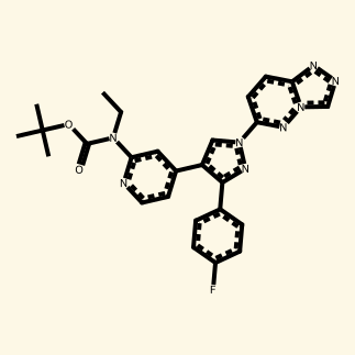 CCN(C(=O)OC(C)(C)C)c1cc(-c2cn(-c3ccc4nncn4n3)nc2-c2ccc(F)cc2)ccn1